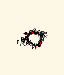 CCO[C@@H]1C[C@H]2C(=O)NC3(CCC3)C(=O)N(C)[C@@H](C3CCCC3)C(=O)N(C)[C@H](C(=O)N(C)C)CC(=O)N(C)[C@@H](CC(C)C)C(=O)N[C@@H]([C@@H](C)CC)C(=O)N(C)CC(=O)N(C)[C@H]3C/C=C\CCN(C3=O)[C@@H](Cc3ccc(C)cc3)C(=O)N(C)CC(=O)N[C@@H](CCc3cc(F)c(C(F)(F)F)c(F)c3)C(=O)N2C1